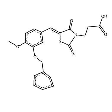 COc1ccc(/C=C2\SC(=S)N(CCC(=O)O)C2=O)cc1OCc1ccccc1